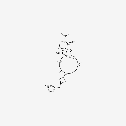 CO[C@]1(C)C[C@@H](C)CN(C)[C@H](C2CN(Cc3cnn(C)c3)C2)COCC(C)(C)C[C@@H](C)[C@H]1O[C@@H]1O[C@H](C)C[C@H](N(C)C)[C@H]1O